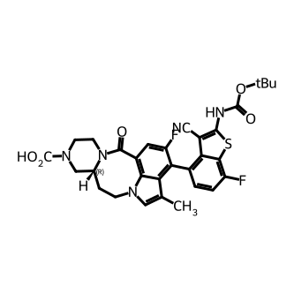 Cc1cn2c3c(cc(F)c(-c4ccc(F)c5sc(NC(=O)OC(C)(C)C)c(C#N)c45)c13)C(=O)N1CCN(C(=O)O)C[C@H]1CC2